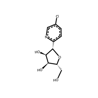 OC[C@H]1O[C@@H](c2ccc(Cl)cn2)[C@H](O)[C@@H]1O